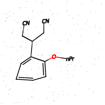 CCCOc1ccccc1C(CC#N)CC#N